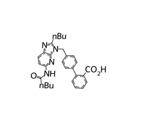 CCCCC(=O)Nc1ccc2nc(CCCC)n(Cc3ccc(-c4ccccc4C(=O)O)cc3)c2n1